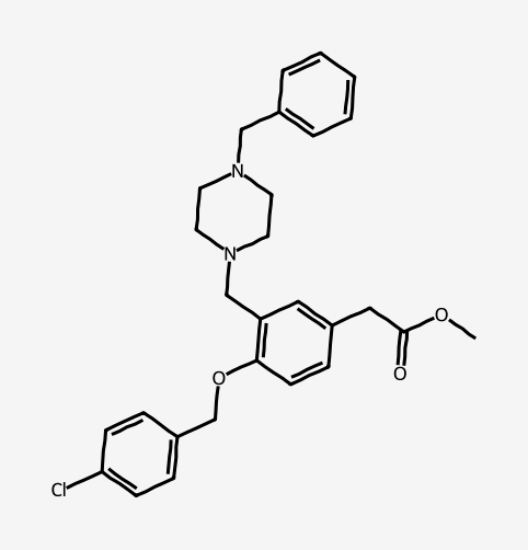 COC(=O)Cc1ccc(OCc2ccc(Cl)cc2)c(CN2CCN(Cc3ccccc3)CC2)c1